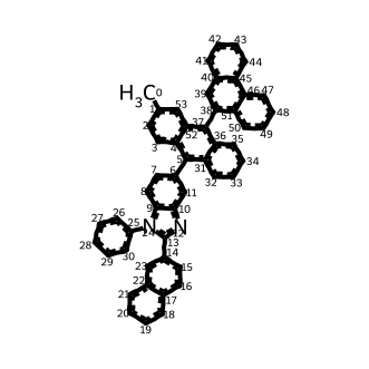 Cc1ccc2c(-c3ccc4c(c3)nc(-c3ccc5ccccc5c3)n4-c3ccccc3)c3ccccc3c(-c3cc4ccccc4c4ccccc34)c2c1